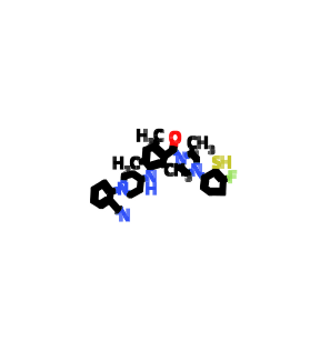 Cc1cc(C)c(C(=O)N2CCN(c3cccc(F)c3S)C[C@@H]2C)c(C)c1NC1CCN(c2ccccc2C#N)CC1